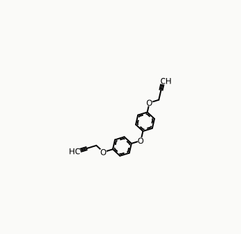 C#CCOc1ccc(Oc2ccc(OCC#C)cc2)cc1